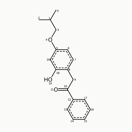 CC(C)COc1ccc(CC(=O)c2ccccc2)c(O)c1